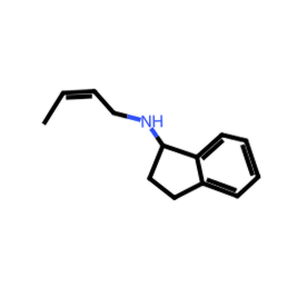 C/C=C\CNC1CCc2ccccc21